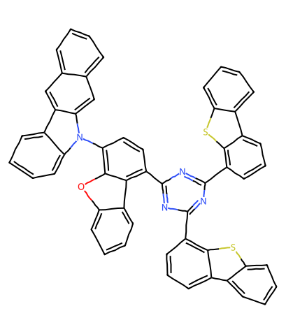 c1ccc2cc3c(cc2c1)c1ccccc1n3-c1ccc(-c2nc(-c3cccc4c3sc3ccccc34)nc(-c3cccc4c3sc3ccccc34)n2)c2c1oc1ccccc12